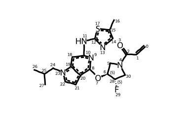 C=CC(=O)N1C[C@H](Oc2nc(Nc3ncc(C)s3)cc3c2ccn3CC(C)C)[C@@H](F)C1